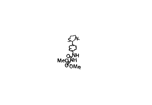 COP(=O)(NC(=O)Nc1ccc(C2SCCN2C)cc1)OC